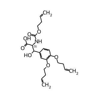 C=CCCOC(=O)N[C@H](C(=O)O)C(O)c1ccc(OCCC=C)c(OCCC=C)c1